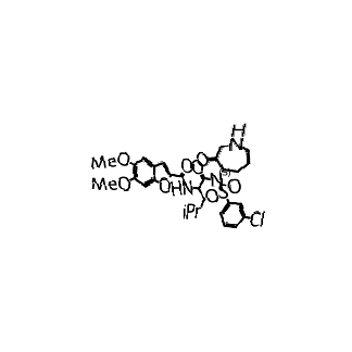 COc1cc2cc(C(=O)NC(CC(C)C)C(=O)N([C@H]3CCCNCC3=O)S(=O)(=O)c3cccc(Cl)c3)oc2cc1OC